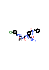 CC(C)N(CC(=O)NCc1cccc(Cl)c1F)C(=O)Cn1nc(C(N)=O)c2cc(C(=O)NCc3ccccc3)ccc21